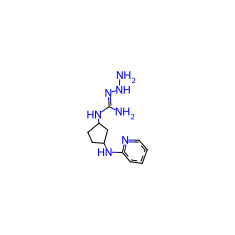 NN/N=C(\N)NC1CCC(Nc2ccccn2)C1